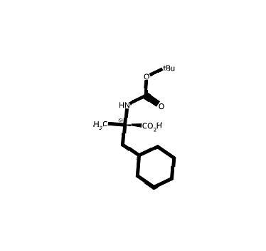 CC(C)(C)OC(=O)N[C@@](C)(CC1CCCCC1)C(=O)O